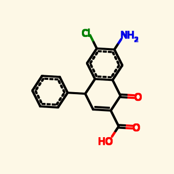 Nc1cc2c(cc1Cl)C(c1ccccc1)C=C(C(=O)O)C2=O